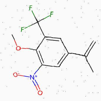 C=C(C)c1cc([N+](=O)[O-])c(OC)c(C(F)(F)F)c1